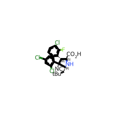 CC(C)(C)C[C@H]1N[C@H](C(=O)O)[C@@H](c2cccc(Cl)c2F)[C@]1(C#N)c1ccc(Cl)cc1Cl